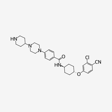 N#Cc1ccc(O[C@H]2CC[C@H](NC(=O)c3ccc(N4CCN(C5CCNCC5)CC4)cc3)CC2)cc1Cl